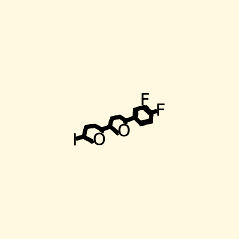 Fc1ccc(C2CCC(C3CCC(I)CO3)CO2)cc1F